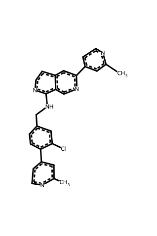 Cc1cc(-c2cc3ccnc(NCc4ccc(-c5ccnc(C)c5)c(Cl)c4)c3cn2)ccn1